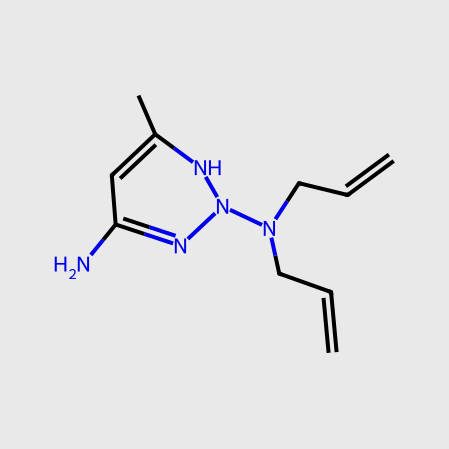 C=CCN(CC=C)N1N=C(N)C=C(C)N1